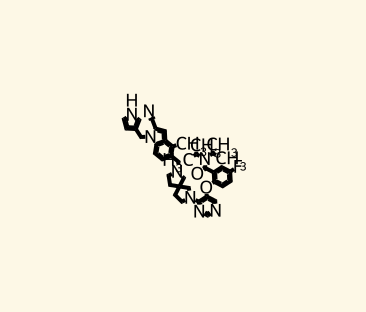 Cc1c(CN2CCC3(CCN(c4ncncc4Oc4ccc(F)cc4C(=O)N(C(C)C)C(C)C)C3)C2)ccc2c1cc(C#N)n2Cc1cc[nH]c1